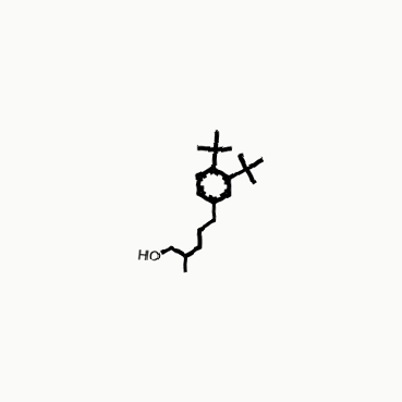 CC(CO)CCCc1ccc(C(C)(C)C)c(C(C)(C)C)c1